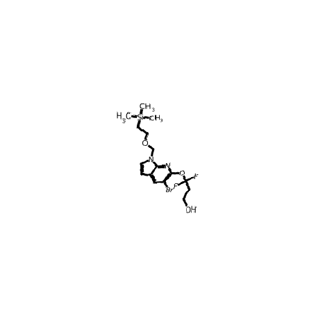 C[Si](C)(C)CCOCn1ccc2cc(Br)c(OC(F)(F)CCO)nc21